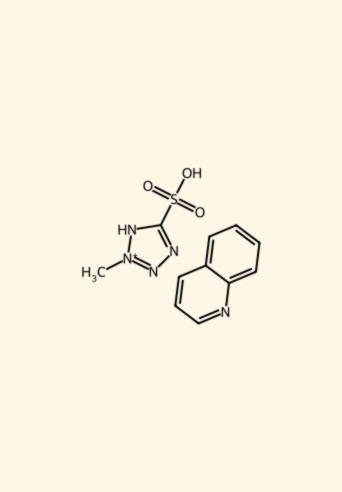 C[n+]1nnc(S(=O)(=O)O)[nH]1.c1ccc2ncccc2c1